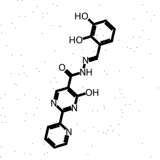 O=C(N/N=C/c1cccc(O)c1O)c1cnc(-c2ccccn2)nc1O